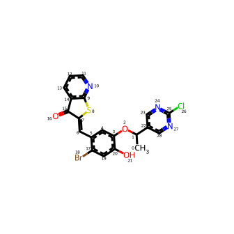 CC(Oc1cc(/C=C2\Sc3ncccc3C2=O)c(Br)cc1O)c1cnc(Cl)nc1